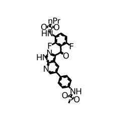 CCCS(=O)(=O)Nc1ccc(F)c(C(=O)c2n[nH]c3ncc(-c4ccc(NS(C)(=O)=O)cc4)cc23)c1F